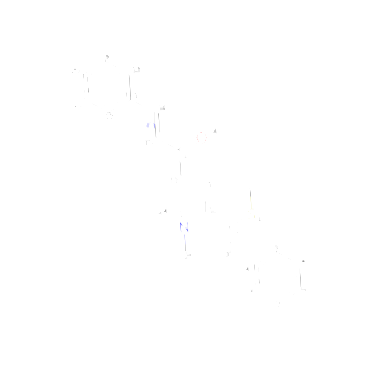 CSC(Cc1ccccc1)C(CCC(=O)/C=C/c1ccccc1)N(C)C